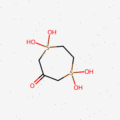 O=C1CS(O)(O)CCS(O)(O)C1